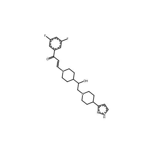 O=C(C=CN1CCC(C(O)CN2CCC(c3cc[nH]n3)CC2)CC1)c1cc(F)cc(F)c1